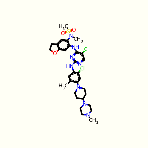 Cc1cc(Nc2ncc(Cl)c(Nc3cc4c(cc3N(C)S(C)(=O)=O)CCO4)n2)c(Cl)cc1N1CCC(N2CCN(C)CC2)CC1